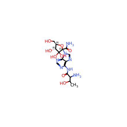 CC(O)C(N)C(=O)Nc1ncnc2c1ncn2[C@]1(C(N)=O)O[C@H](CO)[C@@H](O)C1(O)O